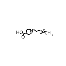 CSOCCCN1CCC(C(=O)O)CC1